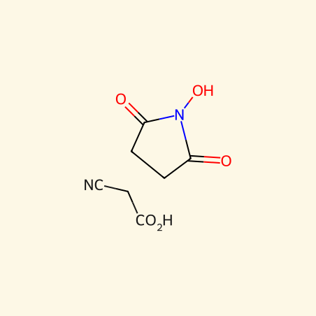 N#CCC(=O)O.O=C1CCC(=O)N1O